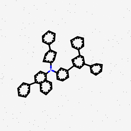 c1ccc(-c2ccc(N(c3cccc(-c4cc(-c5ccccc5)cc(-c5ccccc5)c4)c3)c3ccc(-c4ccccc4)c4ccccc34)cc2)cc1